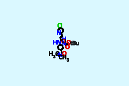 CN(C)C(=O)[C@H]1CC[C@H](NC(=O)C=Cc2ccc(Cl)cn2)[C@H](NC(=O)OC(C)(C)C)C1